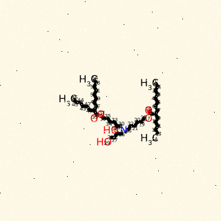 CCCCCCCCC(CCCCCC)C(=O)OCCCCCCN(CCCCO)C[C@H](O)CCCCOC(=O)C(CCCCCC)CCCCCCCC